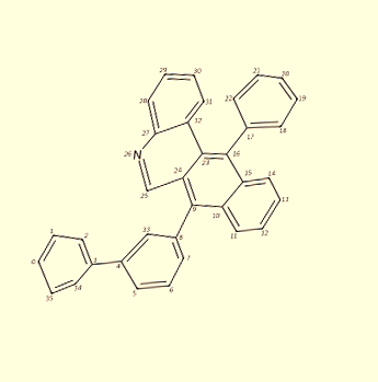 c1ccc(-c2cccc(-c3c4ccccc4c(-c4ccccc4)c4c3cnc3ccccc34)c2)cc1